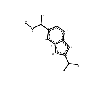 COC(C)c1cnc2cc(C(C)C)nn2c1